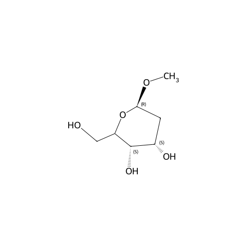 CO[C@H]1C[C@H](O)[C@H](O)C(CO)O1